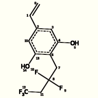 C=Cc1cc(O)c(CC(F)(F)CC(F)(F)F)c(O)c1